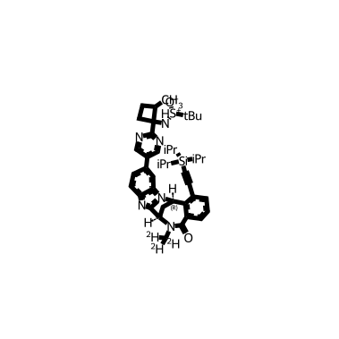 [2H]C([2H])([2H])N1C(=O)c2cccc(C#C[Si](C(C)C)(C(C)C)C(C)C)c2[C@H]2C[C@@H]1c1nc3ccc(-c4cnc(C5(N[S+]([O-])C(C)(C)C)CCC5C)nc4)cc3n12